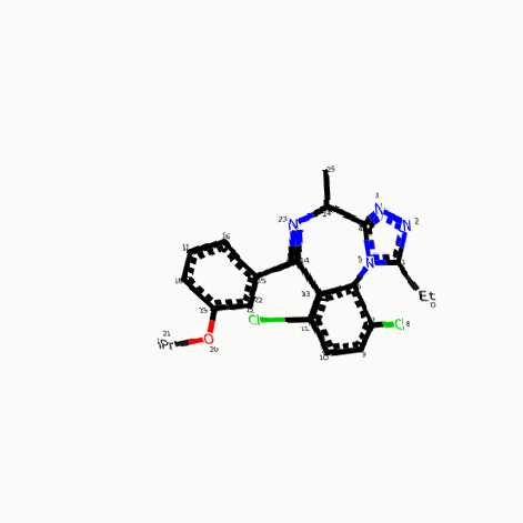 CCc1nnc2n1-c1c(Cl)ccc(Cl)c1C(c1cccc(OC(C)C)c1)=NC2C